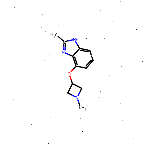 Cc1nc2c(OC3CN(C)C3)cccc2[nH]1